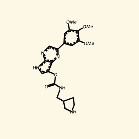 COc1cc(-c2cnc3[nH]cc(OC(=O)NCC4CCNC4)c3n2)cc(OC)c1OC